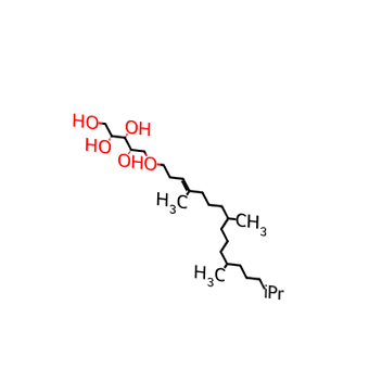 C/C(=C\CCOC[C@H](O)[C@@H](O)[C@H](O)CO)CCCC(C)CCCC(C)CCCC(C)C